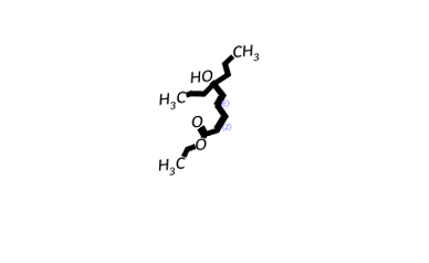 CCCC(O)(/C=C/C=C\C(=O)OCC)CCC